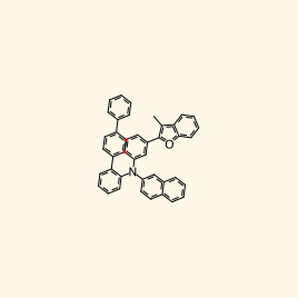 Cc1c(-c2cccc(N(c3ccc4ccccc4c3)c3ccccc3-c3ccc(-c4ccccc4)cc3)c2)oc2ccccc12